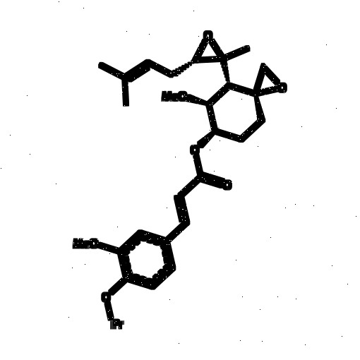 COc1cc(/C=C/C(=O)O[C@@H]2CC[C@]3(CO3)[C@@H](C3(C)O[C@H]3CC=C(C)C)[C@@H]2OC)ccc1OC(C)C